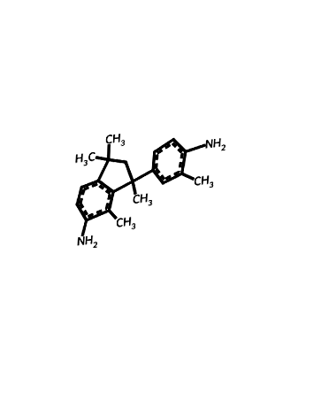 Cc1cc(C2(C)CC(C)(C)c3ccc(N)c(C)c32)ccc1N